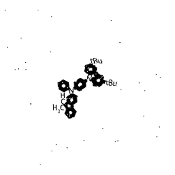 CC(C)(C)c1ccc2c(c1)c1cc(C(C)(C)C)ccc1n2-c1ccc(N(c2ccccc2)c2ccc3c(c2)C(C)(C)c2ccccc2-3)cc1